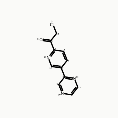 O=C(CCl)c1ccc(-c2cnccn2)cn1